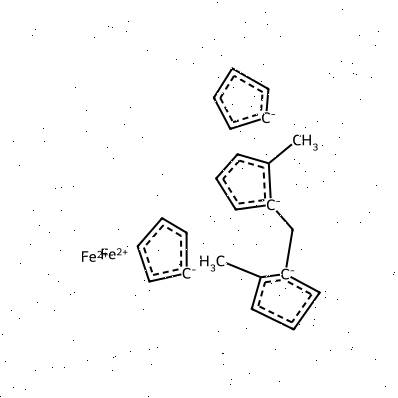 Cc1ccc[c-]1C[c-]1cccc1C.[Fe+2].[Fe+2].c1cc[cH-]c1.c1cc[cH-]c1